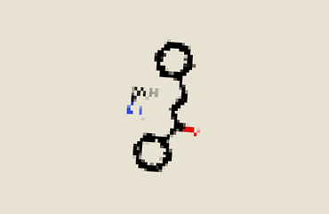 NC(=O)O.O=C(C=Cc1ccccc1)c1ccccc1